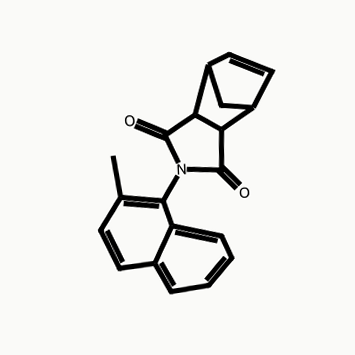 Cc1ccc2ccccc2c1N1C(=O)C2C3C=CC(C3)C2C1=O